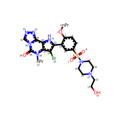 CCCOc1ccc(S(=O)(=O)N2CCN(CCO)CC2)cc1-c1[nH]c2c(c1Br)n(CCC)c(=O)n1cnnc21